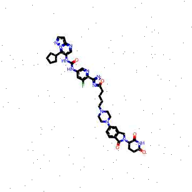 O=C1CCC(N2Cc3cc(N4CCN(CCCCc5nc(-c6ncc(NC(=O)Nc7cnc8ccnn8c7C7CCCC7)cc6F)no5)CC4)ccc3C2=O)C(=O)N1